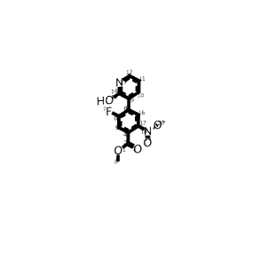 COC(=O)c1cc(F)c(-c2cccnc2O)cc1[N+](=O)[O-]